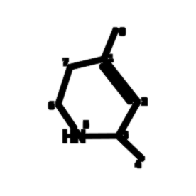 CC1=CC(C)NCC1